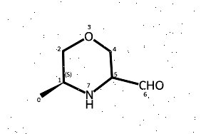 C[C@H]1COCC(C=O)N1